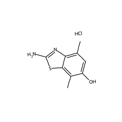 Cc1cc(O)c(C)c2sc(N)nc12.Cl